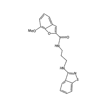 COc1cccc2cc(C(=O)NCCCNc3nsc4ccccc34)oc12